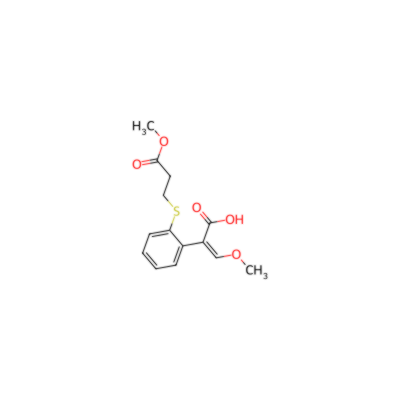 COC=C(C(=O)O)c1ccccc1SCCC(=O)OC